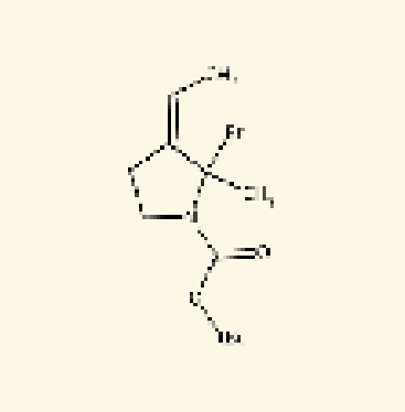 C/C=C1/CCN(C(=O)OC(C)(C)C)C1(C)CC